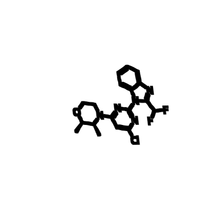 C[C@H]1OCCN(c2cc(Cl)nc(-n3c(C(F)F)nc4ccccc43)n2)[C@H]1C